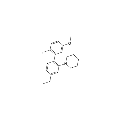 CCc1ccc(-c2cc(OC)ccc2F)c(N2CCCCC2)c1